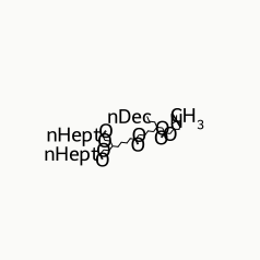 CCCCCCCCCCCCC(CCCOC(=O)CCCCC(COC(=O)CCCCCCC)COC(=O)CCCCCCC)OC(=O)OC1CCN(C)C1